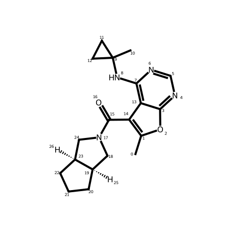 Cc1oc2ncnc(NC3(C)CC3)c2c1C(=O)N1C[C@H]2CCC[C@H]2C1